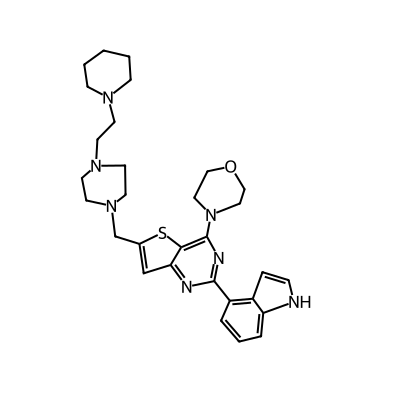 c1cc(-c2nc(N3CCOCC3)c3sc(CN4CCN(CCN5CCCCC5)CC4)cc3n2)c2cc[nH]c2c1